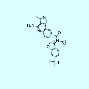 Cc1ncn2c1c(N)nc1ccc(C(=O)N(C3CC3)[C@@H]3COc4cc(C(F)(F)F)ccc43)cc12